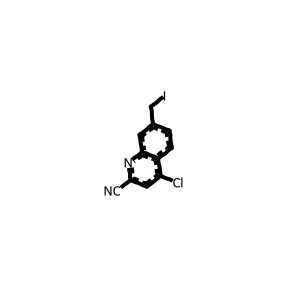 N#Cc1cc(Cl)c2ccc(CI)cc2n1